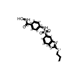 CCCSc1nc2cc(S(=O)(=O)Nc3ccc(C(=O)NO)cc3)ccc2s1